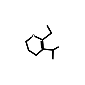 CCC1=C(C(C)C)CCCO1